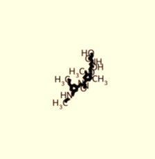 CCCNCc1cc(CCC)cc(-c2nc(-c3cc(C)c(OCC(O)CNC(=O)CO)c(CC)c3)no2)c1